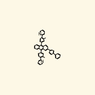 Cc1cc(-c2c3ccccc3c(-c3ccc(-c4ccccn4)c(C)c3)c3cc(-c4ccc(-c5ccccc5)cc4)ccc23)ccc1-c1ccccn1